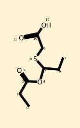 CCC(=O)OC(CC)SCC(=O)O